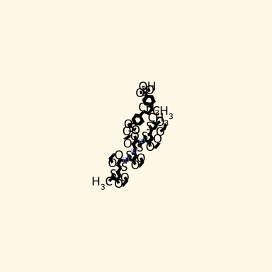 Cc1sc(C2S/C(=c3/s/c(=c4/s/c(=C5/SC(C6SC(C)C7=C6OCCO7)C6=C5OCCO6)c5c4OCC(OS(=O)(=O)c4ccc(C(C)CC(C)c6ccc(S(=O)(=O)O)cc6)cc4)O5)c4c3OCCO4)C3=C2OCCO3)c2c1OCCO2